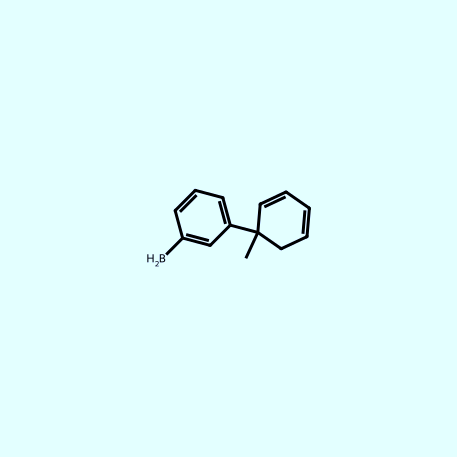 Bc1cccc(C2(C)C=CC=CC2)c1